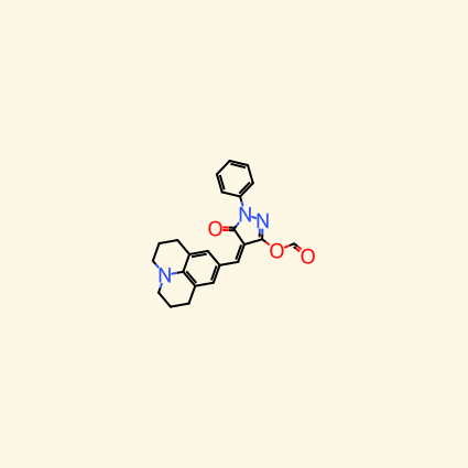 O=COC1=NN(c2ccccc2)C(=O)/C1=C\c1cc2c3c(c1)CCCN3CCC2